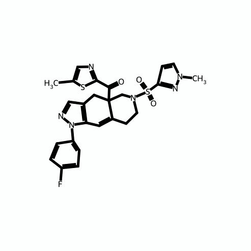 Cc1cnc(C(=O)C23Cc4cnn(-c5ccc(F)cc5)c4C=C2CCN(S(=O)(=O)c2ccn(C)n2)C3)s1